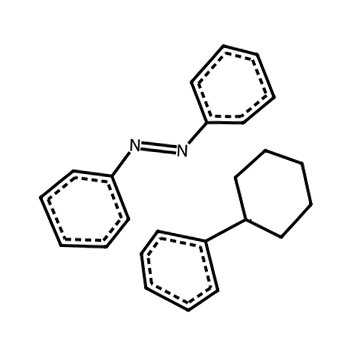 c1ccc(/N=N/c2ccccc2)cc1.c1ccc([C]2CCCCC2)cc1